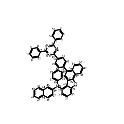 c1ccc(-c2nc(-c3ccccc3)nc(-c3ccc(-c4cc5c(oc6cccc(N(c7ccccc7)c7ccc8ccccc8c7)c65)c5ccccc45)cc3)n2)cc1